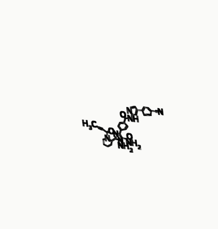 CC#CC(=O)N1CCCCC1c1nc(-c2ccc(C(=O)Nc3cc(-c4ccc(C#N)cc4)ccn3)cc2)c(C(N)=O)n1N